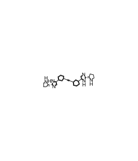 C(#Cc1cccc(-c2cnc([C@@H]3CCCN3)[nH]2)c1)c1cccc(-c2cnc([C@@H]3CCCN3)[nH]2)c1